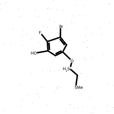 CSC[SiH2]Oc1cc(O)c(F)c(Br)c1